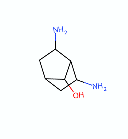 NC1CC2CC(N)C1C2O